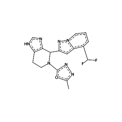 Cc1nnc(N2CCc3[nH]cnc3C2c2cc3c(C(F)F)cccn3n2)o1